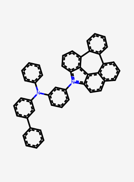 c1ccc(-c2cccc(N(c3ccccc3)c3cccc(-n4c5cccc6c5c5c7c(cccc7ccc54)-c4ccccc4-6)c3)c2)cc1